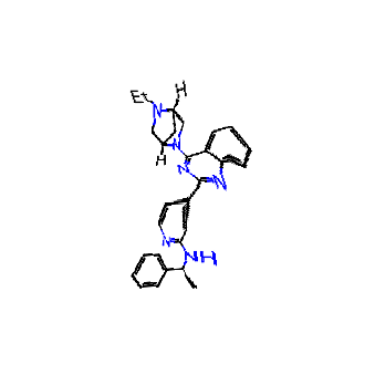 CCN1C[C@@H]2C[C@H]1CN2c1nc(-c2ccnc(N[C@@H](C)c3ccccc3)c2)nc2ccccc12